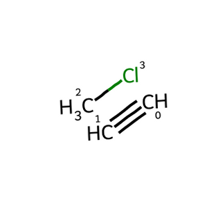 C#C.CCl